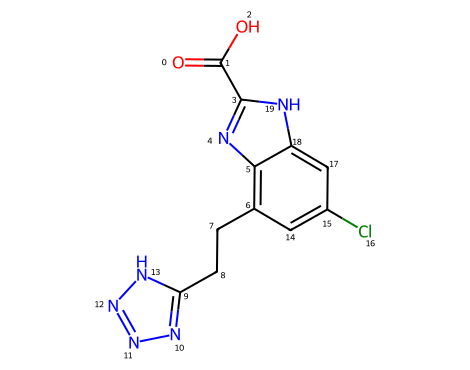 O=C(O)c1nc2c(CCc3nnn[nH]3)cc(Cl)cc2[nH]1